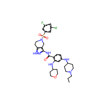 CCCN1CCC(Nc2ccc(C(=O)Nc3n[nH]c4c3CN(S(=O)(=O)c3cc(F)cc(F)c3)CC4)c(NC3CCOCC3)c2)CC1